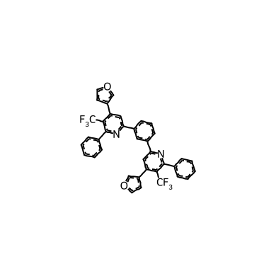 FC(F)(F)c1c(-c2ccoc2)cc(-c2cccc(-c3cc(-c4ccoc4)c(C(F)(F)F)c(-c4ccccc4)n3)c2)nc1-c1ccccc1